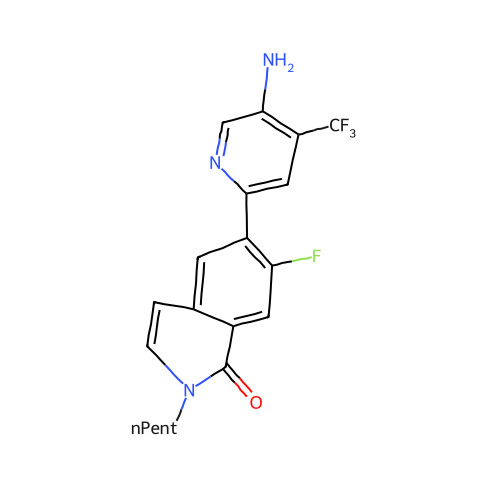 CCCCCn1ccc2cc(-c3cc(C(F)(F)F)c(N)cn3)c(F)cc2c1=O